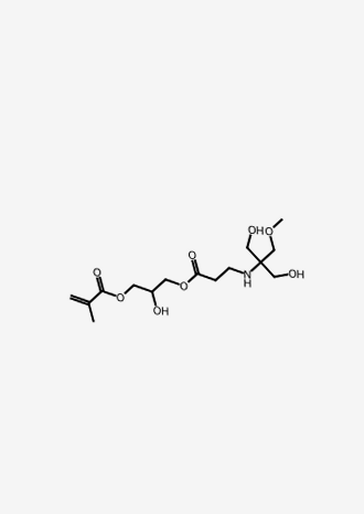 C=C(C)C(=O)OCC(O)COC(=O)CCNC(CO)(CO)COC